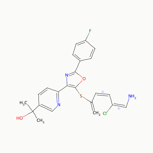 C=C(/C=C\C(Cl)=C/N)Sc1oc(-c2ccc(F)cc2)nc1-c1ccc(C(C)(C)O)cn1